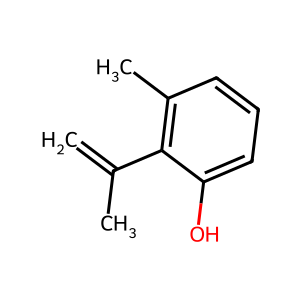 C=C(C)c1c(C)cccc1O